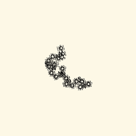 c1ccc(-c2ccc3ccc4ccc(-c5cccc(-c6ccc7sc8ccc9c(-c%10cccc(-c%11cccc(-c%12cc(-c%13ccc%14oc%15c(-c%16cccc(-c%17ccc%18sc%19ccc%20c(-c%21ccccc%21)nc%21ccccc%21c%20c%19c%18c%17)c%16)cccc%15c%14c%13)nc(-c%13ccccc%13)n%12)c%11)c%10)nc%10ccccc%10c9c8c7c6)c5)nc4c3n2)cc1